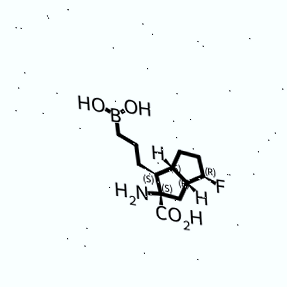 N[C@@]1(C(=O)O)C[C@@H]2[C@@H](CC[C@H]2F)[C@@H]1CCCB(O)O